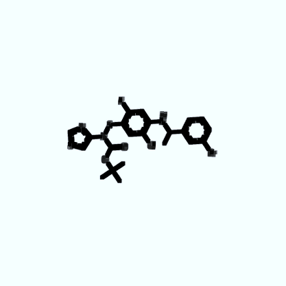 CC(Nc1cc(F)c(SN(C(=O)OC(C)(C)C)c2cscn2)cc1Cl)c1cccc(Br)c1